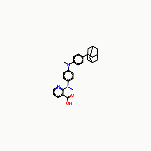 CN(c1ccc(N(C)c2ncccc2C(=O)O)cc1)c1ccc(C23CC4CC(CC(C4)C2)C3)cc1